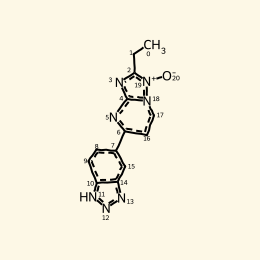 CCc1nc2nc(-c3ccc4[nH]nnc4c3)ccn2[n+]1[O-]